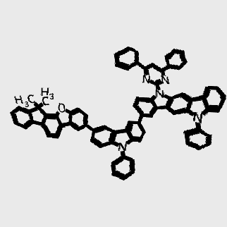 CC1(C)c2ccccc2-c2ccc3c(oc4ccc(-c5ccc6c(c5)c5cc(-c7ccc8c(c7)c7cc9c(cc7n8-c7nc(-c8ccccc8)cc(-c8ccccc8)n7)c7ccccc7n9-c7ccccc7)ccc5n6-c5ccccc5)cc43)c21